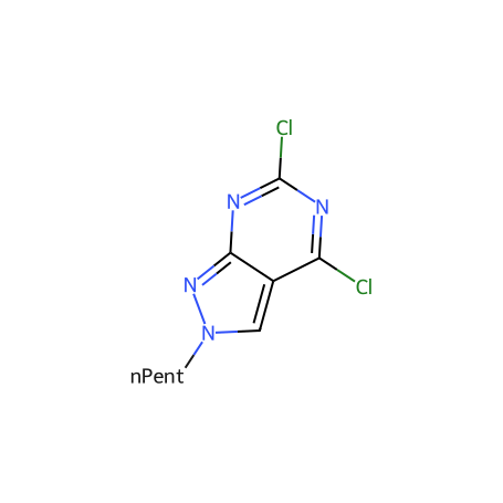 CCCCCn1cc2c(Cl)nc(Cl)nc2n1